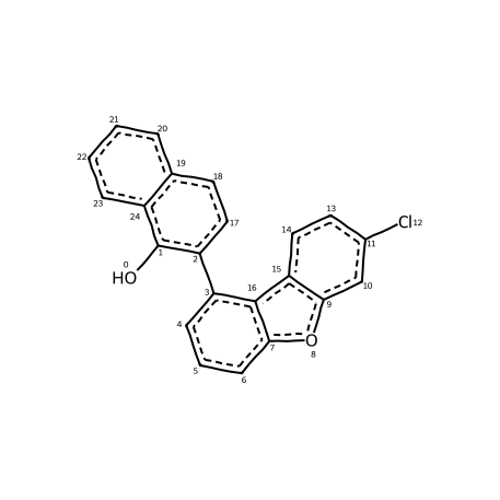 Oc1c(-c2cccc3oc4cc(Cl)ccc4c23)ccc2ccccc12